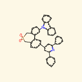 O=S1(=O)Cc2ccc(-c3cc(-c4ccccc4)nc(-c4ccccc4)c3)cc2-c2cc(-n3c4ccccc4c4ccccc43)ccc2C1